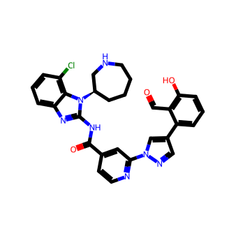 O=Cc1c(O)cccc1-c1cnn(-c2cc(C(=O)Nc3nc4cccc(Cl)c4n3[C@@H]3CCCCNC3)ccn2)c1